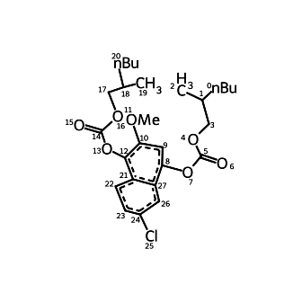 CCCCC(C)COC(=O)Oc1cc(OC)c(OC(=O)OCC(C)CCCC)c2ccc(Cl)cc12